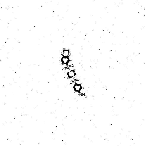 Nc1ccc(S(=O)(=O)N2CCN(S(=O)(=O)c3ccc4c(c3)OCCO4)CC2)cc1